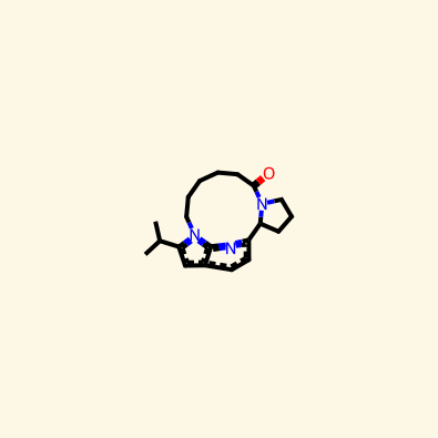 CC(C)c1cc2ccc3nc2n1CCCCCC(=O)N1CCCC31